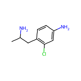 CC(N)Cc1ccc(N)cc1Cl